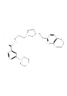 O=C(N[C@@H](CCN1CC[C@@H](CCc2ccc3c(n2)NCCC3)C1)C(=O)O)c1cccc(N2CCOCC2)c1